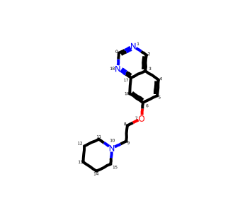 c1ncc2ccc(OCCN3CCCCC3)cc2n1